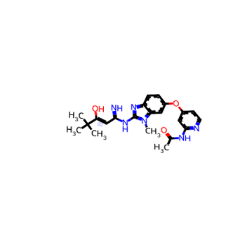 CC(=O)Nc1cc(Oc2ccc3nc(NC(=N)/C=C(\O)C(C)(C)C)n(C)c3c2)ccn1